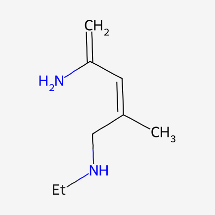 C=C(N)/C=C(/C)CNCC